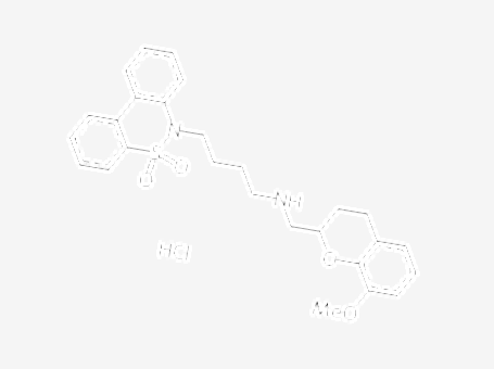 COc1cccc2c1OC(CNCCCCN1c3ccccc3-c3ccccc3S1(=O)=O)CC2.Cl